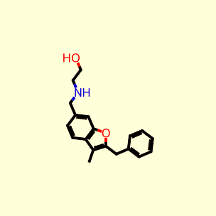 Cc1c(Cc2ccccc2)oc2cc(CNCCO)ccc12